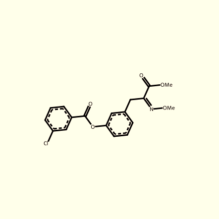 CON=C(Cc1cccc(OC(=O)c2cccc(Cl)c2)c1)C(=O)OC